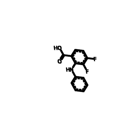 O=C(O)c1ccc(F)c(F)c1Nc1ccccc1